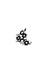 CCN1CCC(Nc2ccc3c(c2)C(=C(c2ccccc2)c2nc4cc(OC)ccc4[nH]2)C(=O)N3)CC1